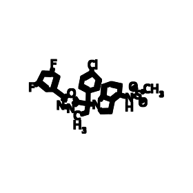 CCC(c1ccc(Cl)cc1)(c1nnc(-c2cc(F)cc(F)c2)o1)n1ccc2c(NS(C)(=O)=O)cccc21